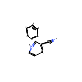 N#Cc1cccnc1.c1ccccc1